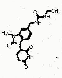 CCNC(=O)NCc1ccc2c(c1)n(C)c(=O)n2C1CCC(=O)NC1=O